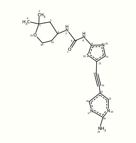 CC1(C)CC(NC(=O)Nc2ncc(C#Cc3cnc(N)nc3)s2)CCO1